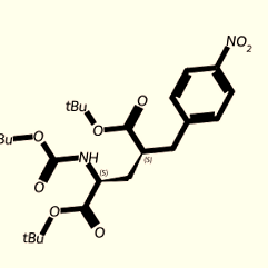 CC(C)(C)OC(=O)N[C@@H](C[C@H](Cc1ccc([N+](=O)[O-])cc1)C(=O)OC(C)(C)C)C(=O)OC(C)(C)C